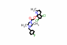 Cc1ccc2c(Cl)cc(Cl)c(OCC(=O)N3C[C@H](C)N(Cc4ccc(F)cc4)C[C@H]3C)c2n1